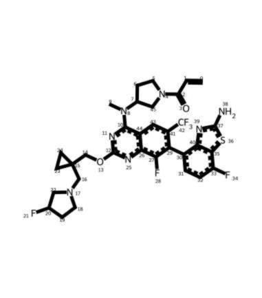 C=CC(=O)N1CCC(N(C)c2nc(OCC3(CN4CCC(F)C4)CC3)nc3c(F)c(-c4ccc(F)c5sc(N)nc45)c(C(F)(F)F)cc23)C1